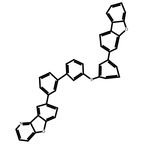 c1cc(Sc2cccc(-c3ccc4c(c3)oc3ccccc34)c2)cc(-c2cccc(-c3ccc4oc5cccnc5c4c3)c2)c1